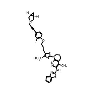 Cc1c(Nc2nc3ccccc3s2)nnc2c1CCCN2c1nc(C(=O)O)c(CCCOc2ccc(C#CCN3C[C@H]4C[C@H]4C3)cc2F)s1